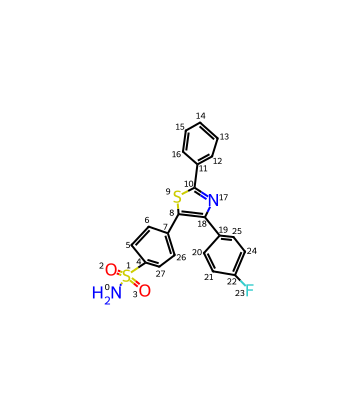 NS(=O)(=O)c1ccc(-c2sc(-c3ccccc3)nc2-c2ccc(F)cc2)cc1